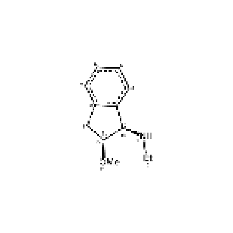 CCN[C@@H]1c2ccccc2C[C@@H]1OC